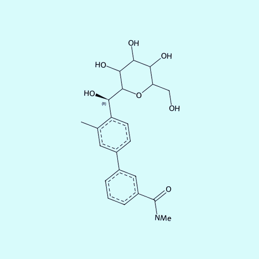 CNC(=O)c1cccc(-c2ccc([C@@H](O)C3OC(CO)C(O)C(O)C3O)c(C)c2)c1